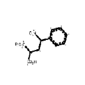 CCOC(=O)C(CC(c1ccccc1)[N+](=O)[O-])C(=O)OCC